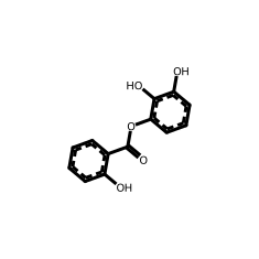 O=C(Oc1cccc(O)c1O)c1ccccc1O